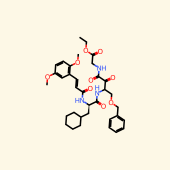 CCOC(=O)CNC(=O)C(=O)C(COCc1ccccc1)NC(=O)[C@@H](CC1CCCCC1)NC(=O)C=Cc1cc(OC)ccc1OC